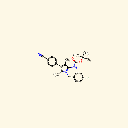 Cc1c(-c2ccc(C#N)cc2)c(C)n(Cc2ccc(F)cc2)c1NC(=O)OC(C)(C)C